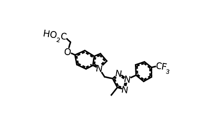 Cc1nn(-c2ccc(C(F)(F)F)cc2)nc1Cn1ccc2cc(OCC(=O)O)ccc21